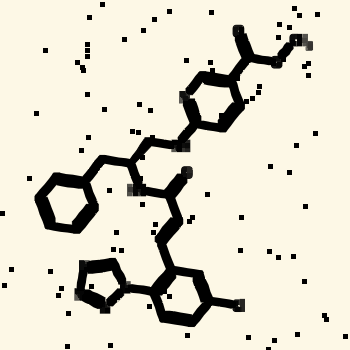 COC(=O)c1ccc(NC[C@H](Cc2ccccc2)NC(=O)/C=C/c2cc(Cl)ccc2-n2cnnn2)nc1